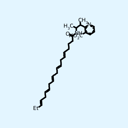 CCC=CCC=CCC=CCC=CCC=CCCCC(=O)NC(C)C(C)c1ncccc1C(=O)O